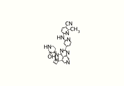 Cc1nc(Nc2cc(-c3nc(N[C@@H]4CCNC[C@H]4O)c4c(C5=CC=C5)cncc4n3)ccn2)ccc1C#N